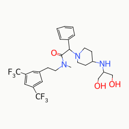 CN(CCc1cc(C(F)(F)F)cc(C(F)(F)F)c1)C(=O)C(c1ccccc1)N1CCC(NC(CO)CO)CC1